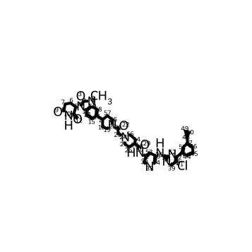 Cn1c(=O)n(C2CCC(=O)NC2=O)c2ccc(C3CCN(C(=O)CN4CCC(C(=O)Nc5cncc(Nc6ncc(Cl)c(-c7cccc(C8CC8)c7)n6)c5)CC4)CC3)cc21